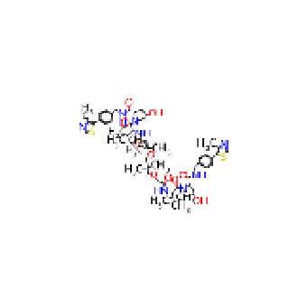 Cc1ncsc1-c1ccc(CNC(=O)[C@@H]2C[C@@H](O)CN2C(=O)C(NC(=O)CC(C)(C)OCC(C)(C)COCC(=O)N[C@H](C(=O)N2C[C@H](O)C[C@H]2C(=O)NCc2ccc(-c3scnc3C)cc2)C(C)(C)C)C(C)(C)C)cc1